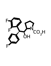 O=C(O)N1CCCC1[C@@H](O)[C@@H](c1ccc(F)cc1)c1cccc(F)c1F